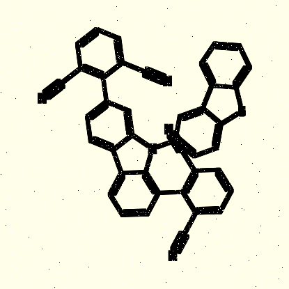 N#Cc1cccc(C#N)c1-c1ccc2c3cccc(-c4c(C#N)cccc4C#N)c3n(-c3ccc4sc5ccccc5c4c3)c2c1